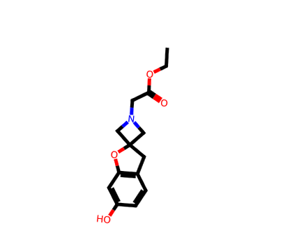 CCOC(=O)CN1CC2(Cc3ccc(O)cc3O2)C1